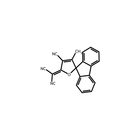 [C-]#[N+]/C(C#N)=C1\OC2(C(C)=C1C#N)c1ccccc1-c1ccccc12